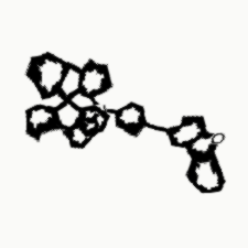 c1ccc(N(c2ccc(-c3ccc4oc5ccccc5c4c3)cc2)c2cccc3c2C2(c4ccccc4-c4ccccc42)c2ccccc2-3)cc1